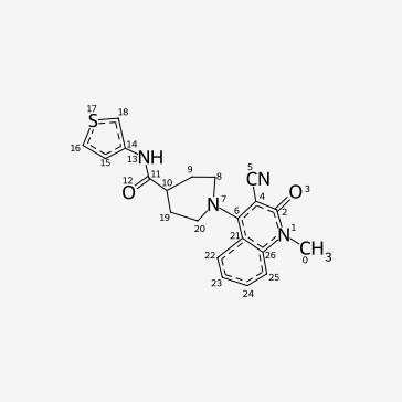 Cn1c(=O)c(C#N)c(N2CCC(C(=O)Nc3ccsc3)CC2)c2ccccc21